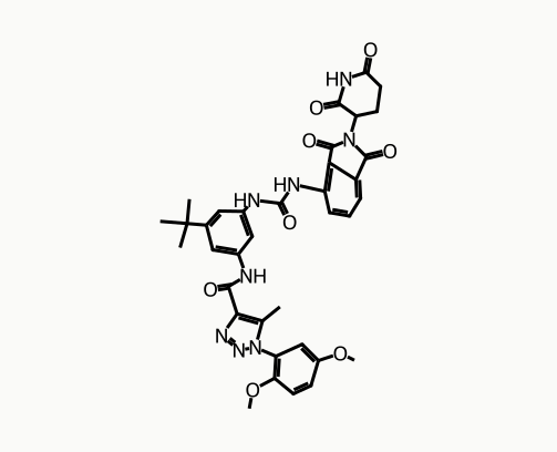 COc1ccc(OC)c(-n2nnc(C(=O)Nc3cc(NC(=O)Nc4cccc5c4C(=O)N(C4CCC(=O)NC4=O)C5=O)cc(C(C)(C)C)c3)c2C)c1